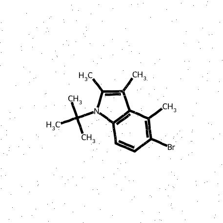 Cc1c(Br)ccc2c1c(C)c(C)n2C(C)(C)C